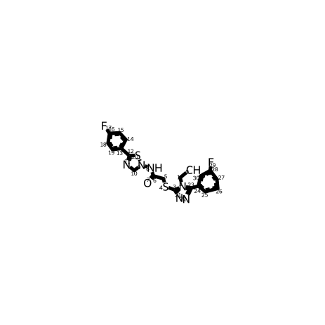 CCn1c(SCC(=O)NN2CN=C(c3ccc(F)cc3)S2)nnc1-c1cccc(F)c1